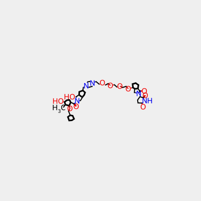 Cc1c(O)cc(O)c(C(=O)N2Cc3ccc(CN4CCN(CCOCCOCCOCCOc5cccc6c5CN(C5CCC(=O)NC5=O)C6=O)CC4)cc3C2)c1OCc1ccccc1